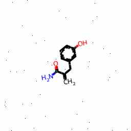 C=C(Cc1cccc(O)c1)C(N)=O